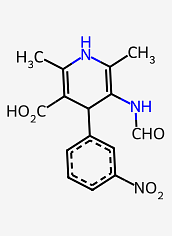 CC1=C(NC=O)C(c2cccc([N+](=O)[O-])c2)C(C(=O)O)=C(C)N1